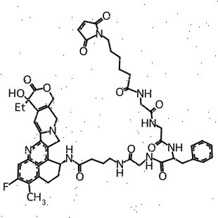 CC[C@@]1(O)C(=O)OCC2=C1C=C1c3nc4cc(F)c(C)c5c4c(c3CN1C2)[C@@H](NC(=O)CCCNC(=O)CNC(=O)C(Cc1ccccc1)NC(=O)CNC(=O)CNC(=O)CCCCCN1C(=O)C=CC1=O)CC5